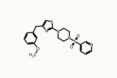 COc1cccc(Cc2csc(N3CCN(S(=O)(=O)c4cccnc4)CC3)n2)c1